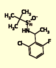 CC(N[S@+]([O-])C(C)(C)C)c1c(F)cccc1Cl